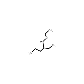 CCCC(CC)NOCC